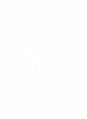 CCCCN(N)CCF